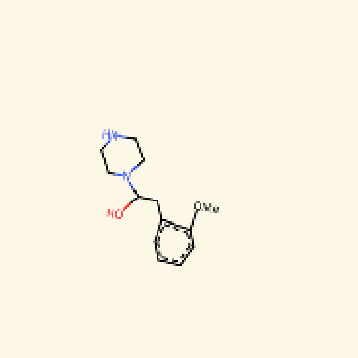 COc1ccccc1CC(O)N1CCNCC1